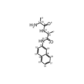 C[C@H](N)C(=O)N[C@@H](C)C(=O)Nc1ccc2ccccc2c1